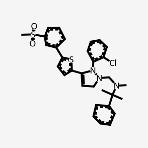 CN(CN1CC=C(c2ccc(-c3cccc(S(C)(=O)=O)c3)s2)N1c1ccccc1Cl)C(C)(C)c1ccccc1